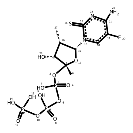 C[C@]1(OP(=O)(O)OP(=O)(O)OP(=O)(O)O)O[C@@H](n2cc(F)c(N)nc2=S)[C@@H](F)[C@H]1O